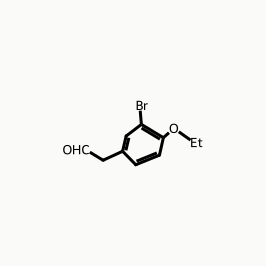 CCOc1ccc(CC=O)cc1Br